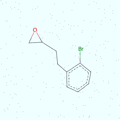 Brc1ccccc1CCC1CO1